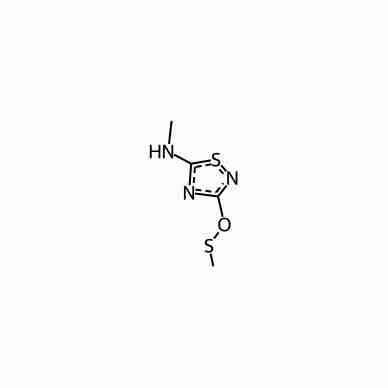 CNc1nc(OSC)ns1